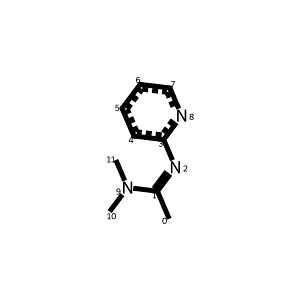 CC(=Nc1ccccn1)N(C)C